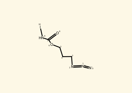 [N-]=[N+]=NCCCOC(=O)NI